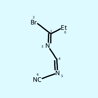 CC/C(Br)=N\C=N/C#N